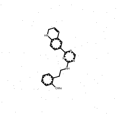 COc1ccccc1CCNc1ncnc(-c2ccc3c(c2)C=CCN3)n1